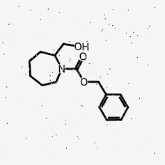 O=C(OCc1ccccc1)N1CCCCCC1CO